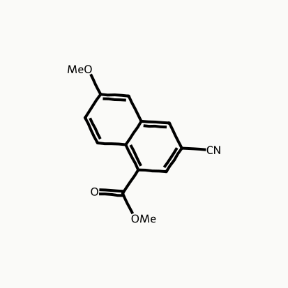 COC(=O)c1cc(C#N)cc2cc(OC)ccc12